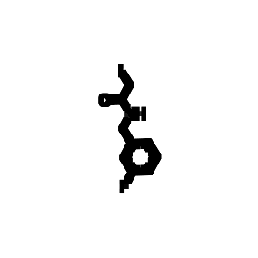 O=C(CI)NCc1cccc(F)c1